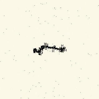 CCn1c(=O)/c(=C2\Sc3cc(NC(=O)CCCCCNC(=O)CCCC[C@@H]4SC[C@@H]5NC(=O)N[C@@H]54)ccc3N2C)s/c1=C\c1cccc[n+]1C.[Cl-]